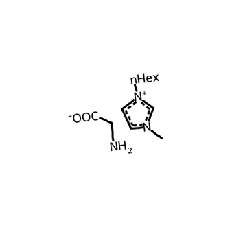 CCCCCC[n+]1ccn(C)c1.NCC(=O)[O-]